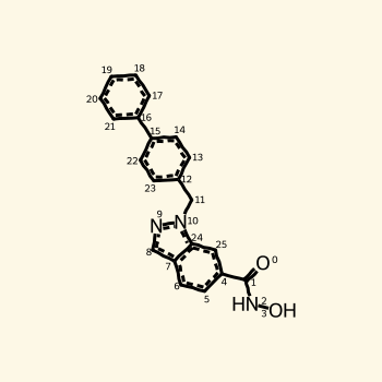 O=C(NO)c1ccc2cnn(Cc3ccc(-c4ccccc4)cc3)c2c1